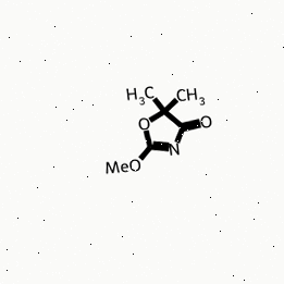 COC1=NC(=O)C(C)(C)O1